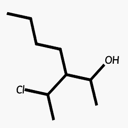 CCCCC(C(C)O)C(C)Cl